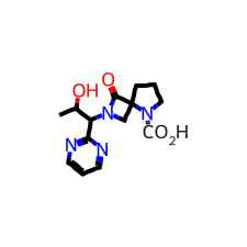 CC(O)C(c1ncccn1)N1CC2(CCCN2C(=O)O)C1=O